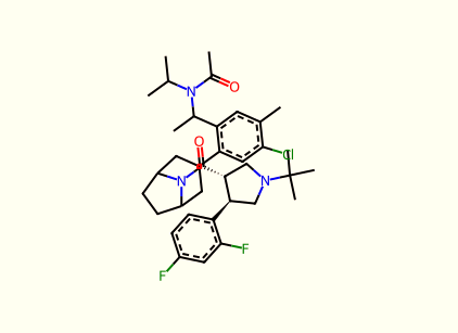 CC(=O)N(C(C)C)C(C)c1cc(C)c(Cl)cc1C1CC2CCC(C1)N2C(=O)[C@@H]1CN(C(C)(C)C)C[C@H]1c1ccc(F)cc1F